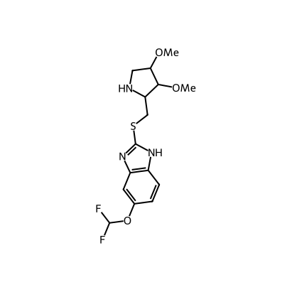 COC1CNC(CSc2nc3cc(OC(F)F)ccc3[nH]2)C1OC